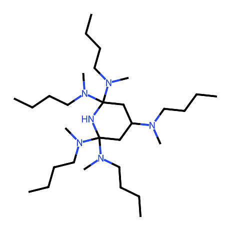 CCCCN(C)C1CC(N(C)CCCC)(N(C)CCCC)NC(N(C)CCCC)(N(C)CCCC)C1